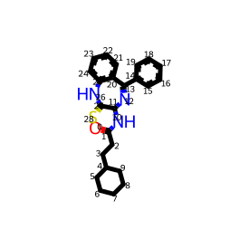 O=C(CCC1CCCCC1)NC1N=C(c2ccccc2)c2ccccc2NC1=S